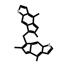 CC1=C(CC2=C(C)C=C3C2=CC2SC=CC2=C3C)C2=CC3SC=CC3=C(C)C2=C1